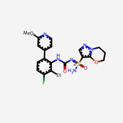 CCc1c(F)ccc(-c2ccnc(OC)c2)c1NC(=O)N=[S@@](N)(=O)c1cnn2c1OCCC2